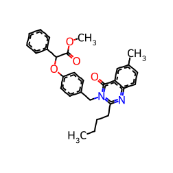 CCCCc1nc2ccc(C)cc2c(=O)n1Cc1ccc(OC(C(=O)OC)c2ccccc2)cc1